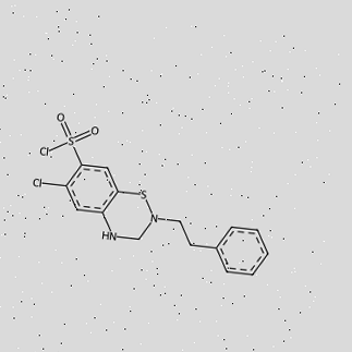 O=S(=O)(Cl)c1cc2c(cc1Cl)NCN(CCc1ccccc1)S2